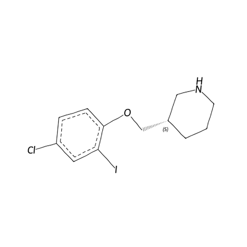 Clc1ccc(OC[C@H]2CCCNC2)c(I)c1